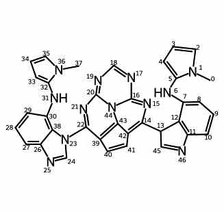 Cn1cccc1Nc1cccc2c1C(c1nc3ncnc4nc(-n5cnc6cccc(Nc7cccn7C)c65)c5ccc1c5n34)C=N2